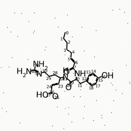 CCCCC/C=C/C(=O)N[C@@H](Cc1ccc(O)cc1)C(=O)NC(/C=C/C(=O)O)CCCN=C(N)N